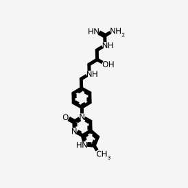 Cc1cc2cn(-c3ccc(CNCC(O)CNC(=N)N)cc3)c(=O)nc2[nH]1